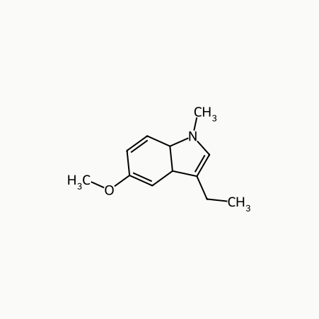 CCC1=CN(C)C2C=CC(OC)=CC12